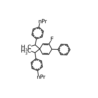 CCCc1ccc(C(C)C2(C(C)c3ccc(CCC)cc3)C=CC(c3ccccc3)C(F)=C2)cc1